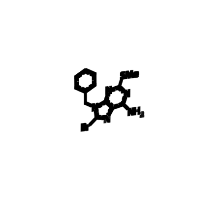 CSc1nc(N)c2nc(Br)n(Cc3ccccc3)c2n1